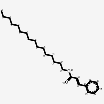 CCCCCCCCCCCCCCCCOC(=O)C=Cc1ccccc1